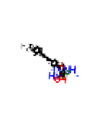 CC(N)(C(F)F)C(NC(=O)c1ccc(C#CC#Cc2ccc(C(F)(F)F)cc2)cc1)C(=O)NO